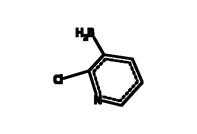 Bc1cccnc1Cl